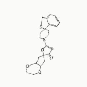 O=C1N=C(N2CCC3(CC2)OCc2ccccc23)OC12CC1OCCOC1C2